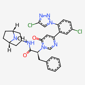 CN1[C@@H]2CC[C@H]1C[C@H](NC(=O)[C@H](Cc1ccccc1)n1cnc(-c3cc(Cl)ccc3-n3cc(Cl)nn3)cc1=O)C2